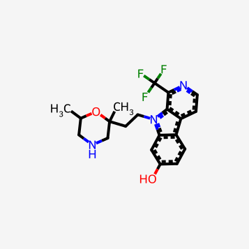 CC1CNCC(C)(CCn2c3cc(O)ccc3c3ccnc(C(F)(F)F)c32)O1